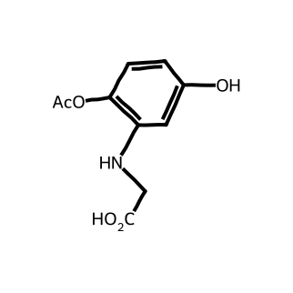 CC(=O)Oc1ccc(O)cc1NCC(=O)O